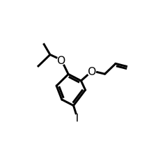 C=CCOc1cc(I)ccc1OC(C)C